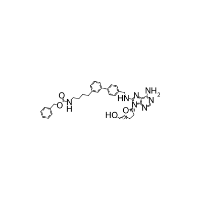 Nc1ncnc2c1nc(NCc1ccc(-c3cccc(CCCCNC(=O)OCc4ccccc4)c3)cc1)n2[C@H]1CC[C@@H](CO)O1